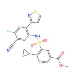 COC(=O)c1ccc(C2CC2)c(S(=O)(=O)Nc2cc(C#N)c(F)cc2-c2ccsn2)c1